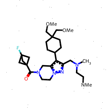 CNCCN(C)Cc1nn2c(c1C1CCC(COC)(COC)CC1)CN(C(=O)C13CC(F)(C1)C3)CC2